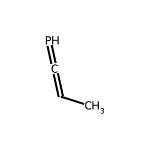 CC=C=P